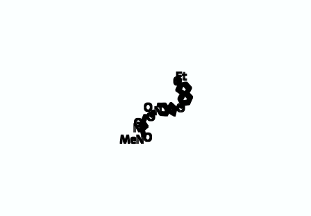 CCOc1ccc2ccc(OC3CC4(CCN(C(=O)OCc5cc(C(=O)NC)no5)CC4)C3)cc2c1